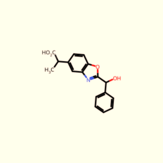 CC(C(=O)O)c1ccc2oc(C(O)c3ccccc3)nc2c1